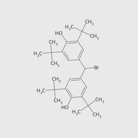 CC(C)(C)c1cc(C(Br)c2cc(C(C)(C)C)c(O)c(C(C)(C)C)c2)cc(C(C)(C)C)c1O